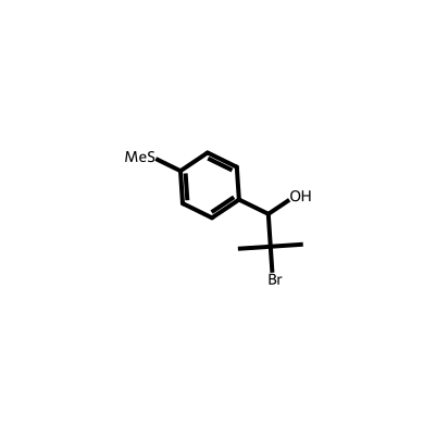 CSc1ccc(C(O)C(C)(C)Br)cc1